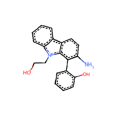 Nc1ccc2c3ccccc3n(CCO)c2c1-c1ccccc1O